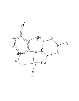 CN1CCN(C(c2c(O)c(=O)ccn2C)C(F)(F)F)CC1